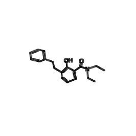 CCN(CC)C(=O)c1cccc(CCc2ccccc2)c1O